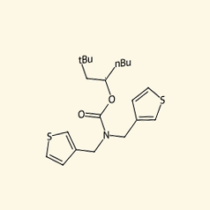 CCCC[C](CC(C)(C)C)OC(=O)N(Cc1ccsc1)Cc1ccsc1